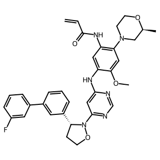 C=CC(=O)Nc1cc(Nc2cc(N3OCC[C@@H]3c3cccc(-c4cccc(F)c4)c3)ncn2)c(OC)cc1N1CCO[C@@H](C)C1